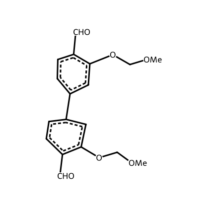 COCOc1cc(-c2ccc(C=O)c(OCOC)c2)ccc1C=O